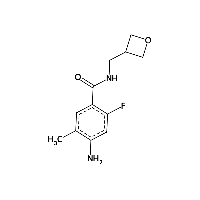 Cc1cc(C(=O)NCC2COC2)c(F)cc1N